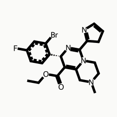 CCOC(=O)C1=C2CN(C)CCN2C(C2=NC=CC2)=N[C@H]1c1ccc(F)cc1Br